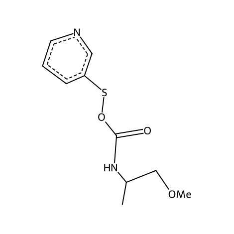 COCC(C)NC(=O)OSc1cccnc1